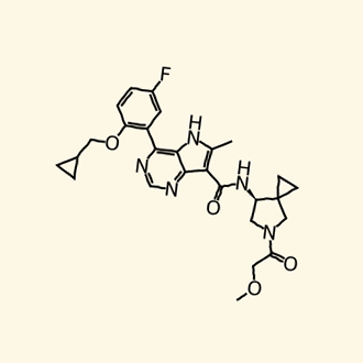 COCC(=O)N1C[C@@H](NC(=O)c2c(C)[nH]c3c(-c4cc(F)ccc4OCC4CC4)ncnc23)C2(CC2)C1